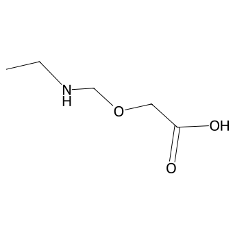 CCNCOCC(=O)O